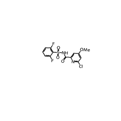 COc1cc(Cl)nc(C(=O)NS(=O)(=O)c2c(F)cccc2F)c1